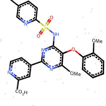 COc1ccccc1Oc1c(NS(=O)(=O)c2ccc(C)cn2)nc(-c2ccnc(C(=O)O)c2)nc1OC